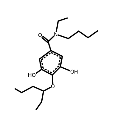 CCCCN(CC)C(=O)c1cc(O)c(OC(CC)CCC)c(O)c1